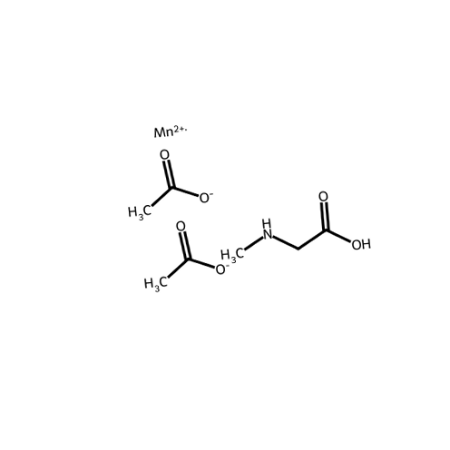 CC(=O)[O-].CC(=O)[O-].CNCC(=O)O.[Mn+2]